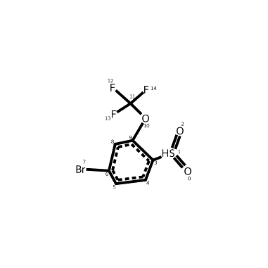 O=[SH](=O)c1ccc(Br)cc1OC(F)(F)F